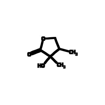 CC1COC(=O)C1(C)O